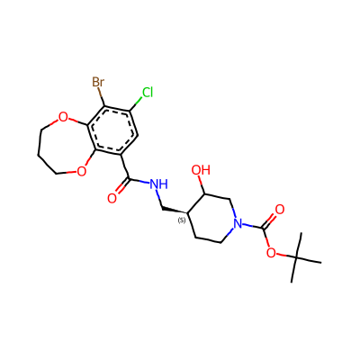 CC(C)(C)OC(=O)N1CC[C@@H](CNC(=O)c2cc(Cl)c(Br)c3c2OCCCO3)C(O)C1